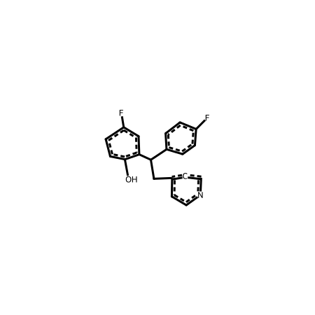 Oc1ccc(F)cc1C(Cc1ccncc1)c1ccc(F)cc1